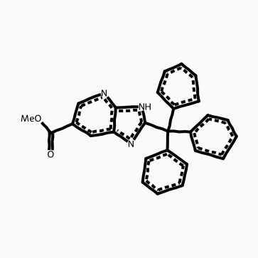 COC(=O)c1cnc2[nH]c(C(c3ccccc3)(c3ccccc3)c3ccccc3)nc2c1